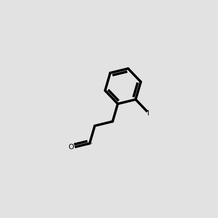 O=[C]CCc1ccccc1I